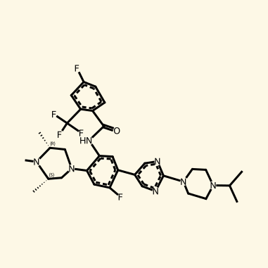 CC(C)N1CCN(c2ncc(-c3cc(NC(=O)c4ccc(F)cc4C(F)(F)F)c(N4C[C@@H](C)N(C)[C@@H](C)C4)cc3F)cn2)CC1